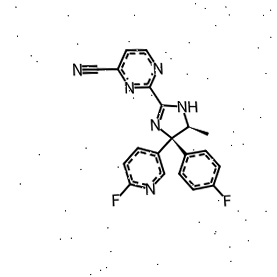 C[C@@H]1NC(c2nccc(C#N)n2)=N[C@@]1(c1ccc(F)cc1)c1ccc(F)nc1